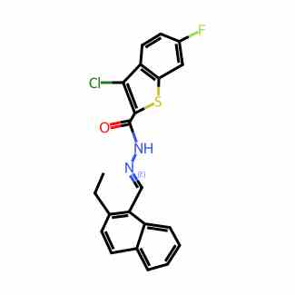 CCc1ccc2ccccc2c1/C=N/NC(=O)c1sc2cc(F)ccc2c1Cl